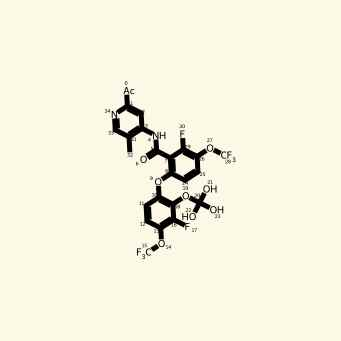 CC(=O)c1cc(NC(=O)c2c(Oc3ccc(OC(F)(F)F)c(F)c3OC(O)(O)O)ccc(OC(F)(F)F)c2F)c(C)cn1